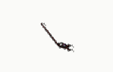 CSCCCOCCOCCOCCOCCOCCOCCOCCOCCOCCOCCOCCn1cc(CNC(=O)OCc2ccc(NC(=O)[C@H](CCCNC(N)=O)NC(=O)[C@H](CC(C)C)NC(=O)CO/N=C(\CSC)CSCS)cc2)nn1